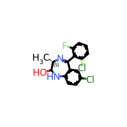 C[C@@H]1N=C(c2c(F)cccc2F)c2c(ccc(Cl)c2Cl)NC1O